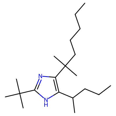 CCCCCC(C)(C)c1nc(C(C)(C)C)[nH]c1C(C)CCC